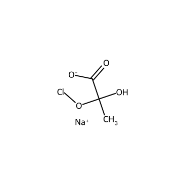 CC(O)(OCl)C(=O)[O-].[Na+]